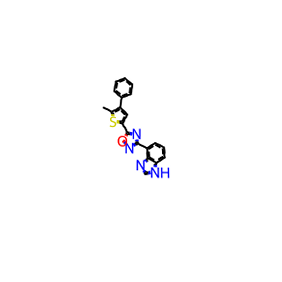 Cc1sc(-c2nc(-c3cccc4[nH]cnc34)no2)cc1-c1ccccc1